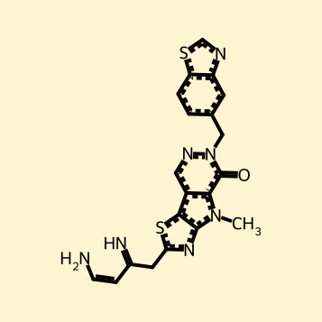 Cn1c2nc(CC(=N)/C=C\N)sc2c2cnn(Cc3ccc4scnc4c3)c(=O)c21